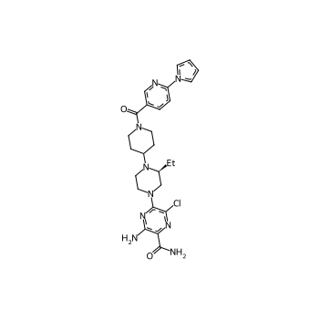 CC[C@H]1CN(c2nc(N)c(C(N)=O)nc2Cl)CCN1C1CCN(C(=O)c2ccc(-n3cccc3)nc2)CC1